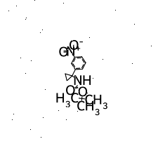 CC(C)(C)OC(=O)NC1(c2cccc([N+](=O)[O-])c2)CC1